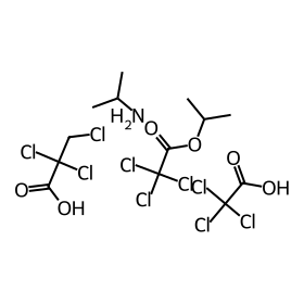 CC(C)N.CC(C)OC(=O)C(Cl)(Cl)Cl.O=C(O)C(Cl)(Cl)CCl.O=C(O)C(Cl)(Cl)Cl